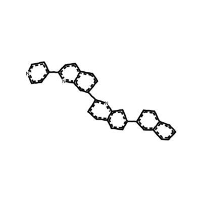 c1ccc2cc(-c3ccc4ccc(-c5ccc6ccc(-c7ccncc7)nc6c5)nc4c3)ccc2c1